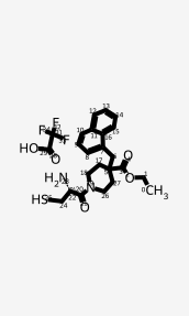 CCOC(=O)C1(Cc2cccc3ccccc23)CCN(C(=O)[C@@H](N)CS)CC1.O=C(O)C(F)(F)F